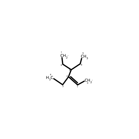 [CH2]C=C(CC)C(C[CH2])CC